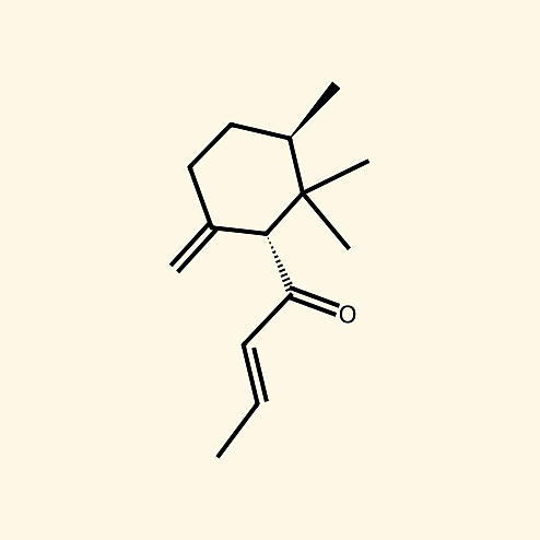 C=C1CC[C@@H](C)C(C)(C)[C@@H]1C(=O)/C=C/C